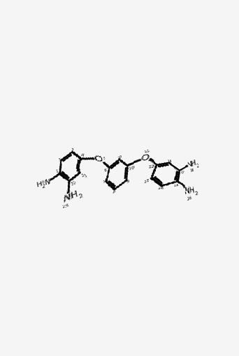 Nc1ccc(Oc2cccc(Oc3ccc(N)c(N)c3)c2)cc1N